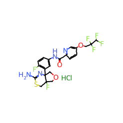 Cl.NC1=NC2(c3cc(NC(=O)c4ccc(OCC(F)(F)C(F)F)cn4)ccc3F)COCC2(F)CS1